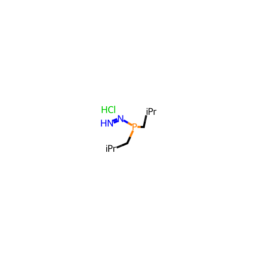 CC(C)CP(CC(C)C)N=N.Cl